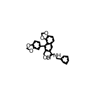 O=C(NCc1ccccc1)c1cc2ccc3c(c2c(-c2ccc4c(c2)OCO4)c1CO)OCO3